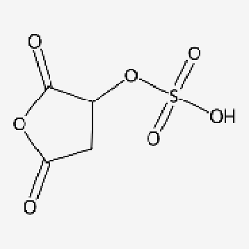 O=C1CC(OS(=O)(=O)O)C(=O)O1